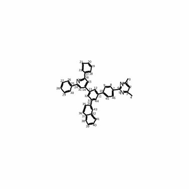 Cc1cc(C)nc(-c2ccc(-c3cc(-c4cc(-c5ccccc5)nc(-c5ccccc5)c4)cc(-c4ccc5ccccc5c4)c3)cc2)n1